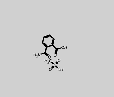 CS(=O)(=O)O.NC(=O)c1ccccc1C(=O)O